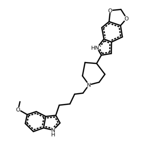 COc1ccc2[nH]cc(CCCCN3CCC(c4cc5cc6c(cc5[nH]4)OCO6)CC3)c2c1